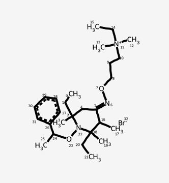 CCC1(C)CC(=NOCCC[N+](C)(C)CC)C(C)C(C)(CC)N1OC(C)c1ccccc1.[Br-]